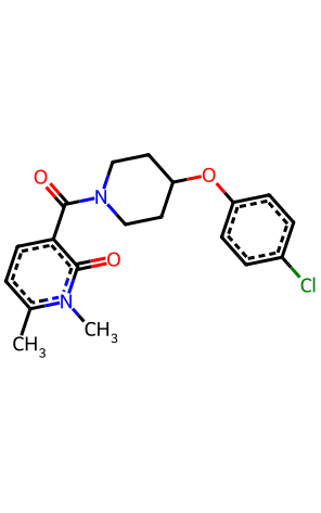 Cc1ccc(C(=O)N2CCC(Oc3ccc(Cl)cc3)CC2)c(=O)n1C